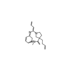 C=C/C=C(\N=C1\C=CC=CC1)N1CCC(CCC=C)(C(=C)NC)C1